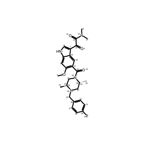 COc1cc2[nH]cc(C(=O)C(=O)N(C)C)c2cc1C(=O)N1C[C@H](C)N(Cc2ccc(F)cc2)C[C@H]1C